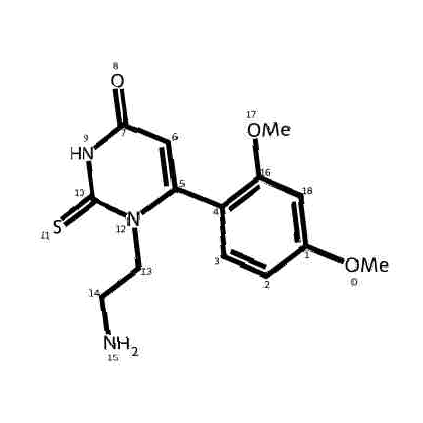 COc1ccc(-c2cc(=O)[nH]c(=S)n2CCN)c(OC)c1